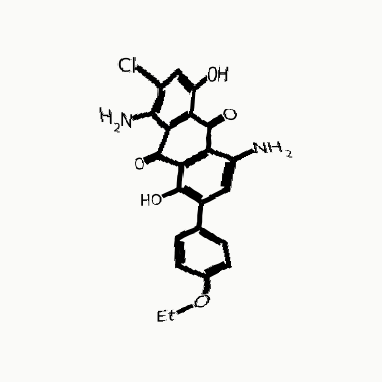 CCOc1ccc(-c2cc(N)c3c(c2O)C(=O)c2c(N)c(Cl)cc(O)c2C3=O)cc1